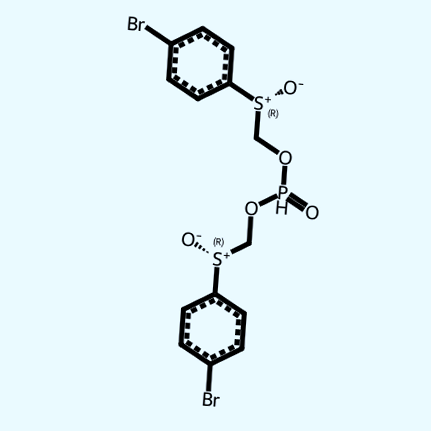 O=[PH](OC[S@@+]([O-])c1ccc(Br)cc1)OC[S@@+]([O-])c1ccc(Br)cc1